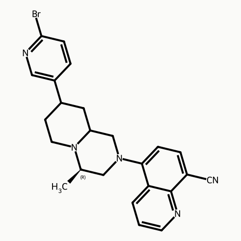 C[C@@H]1CN(c2ccc(C#N)c3ncccc23)CC2CC(c3ccc(Br)nc3)CCN21